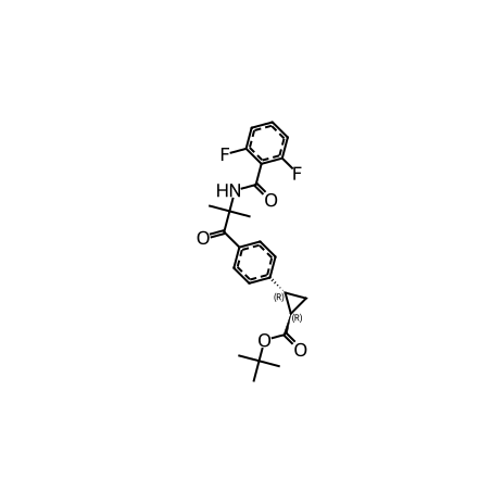 CC(C)(C)OC(=O)[C@@H]1C[C@H]1c1ccc(C(=O)C(C)(C)NC(=O)c2c(F)cccc2F)cc1